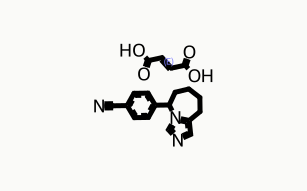 N#Cc1ccc(C2CCCCc3cncn32)cc1.O=C(O)/C=C/C(=O)O